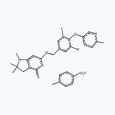 Cc1ccc(Oc2c(F)cc(COc3cc4n(c(=O)n3)CC(C)(C)N4C)cc2F)cn1.Cc1ccc(S(=O)(=O)O)cc1